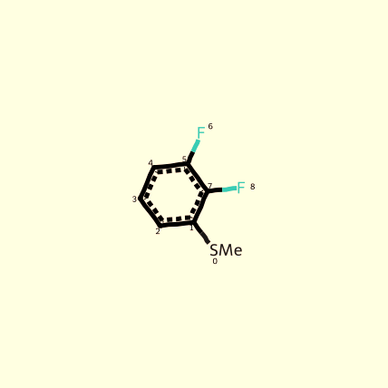 CSc1cccc(F)c1F